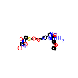 NC(=O)c1c(-c2ccc(Oc3ccccc3)cc2)nn2c1NCCC2C1CCN(CCOCCOCCSc2cccc3c2CN(C2CCC(=O)NC2=O)C3=O)CC1